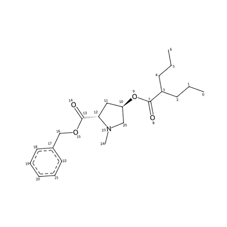 CCCC(CCC)C(=O)O[C@@H]1C[C@@H](C(=O)OCc2ccccc2)N(C)C1